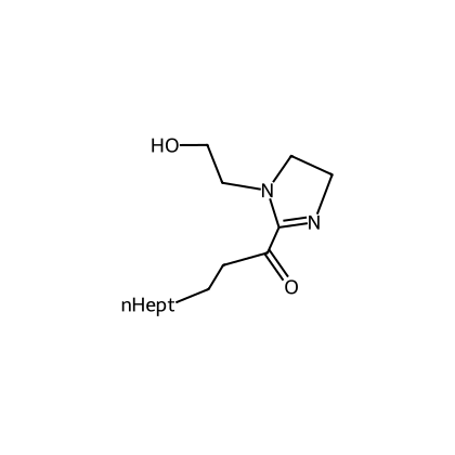 CCCCCCCCCC(=O)C1=NCCN1CCO